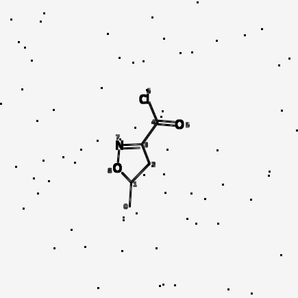 CC1CC(C(=O)Cl)=NO1